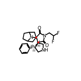 CC(C)N1C(=O)N(CC(F)F)C(=O)C12CC1CCC(C2)N1C[C@H]1CNC[C@@H]1c1ccccc1